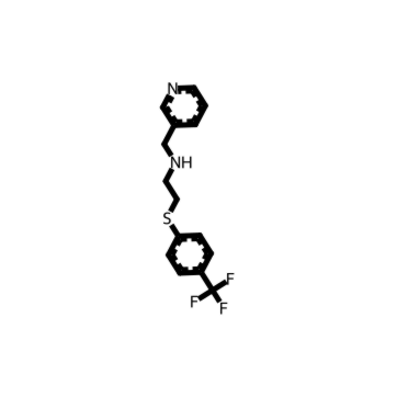 FC(F)(F)c1ccc(SCCNCc2cccnc2)cc1